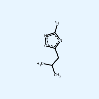 [2H]c1noc(CC(C)C)n1